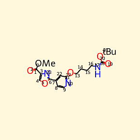 COC(=O)c1coc(-c2ccnc(OCCCCNC(=O)OC(C)(C)C)c2)n1